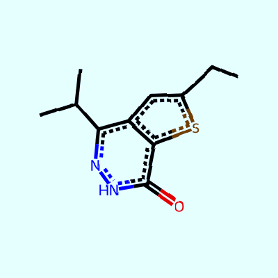 CCc1cc2c(C(C)C)n[nH]c(=O)c2s1